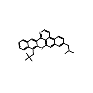 CC(C)Cc1ccc2c(c1)cc1c3c(nccc32)-c2cc3ccccc3c(CC(C)(C)C)c2O1